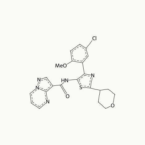 COc1ccc(Cl)cc1-c1nc(C2CCOCC2)sc1NC(=O)c1cnn2cccnc12